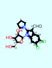 O=Cc1c(N2CCCC2)n([C@@H]2O[C@H](CO)C(O)C2O)c2cc(Cl)c(Cl)cc12